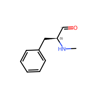 CN[C@H]([C]=O)Cc1ccccc1